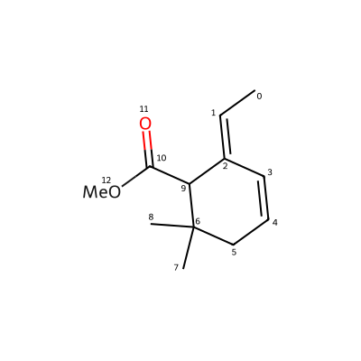 CC=C1C=CCC(C)(C)C1C(=O)OC